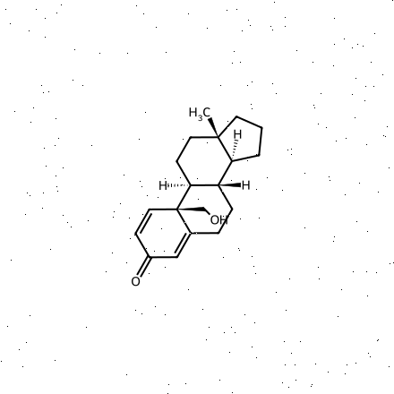 C[C@@]12CCC[C@H]1[C@@H]1CCC3=CC(=O)C=C[C@]3(CO)[C@H]1CC2